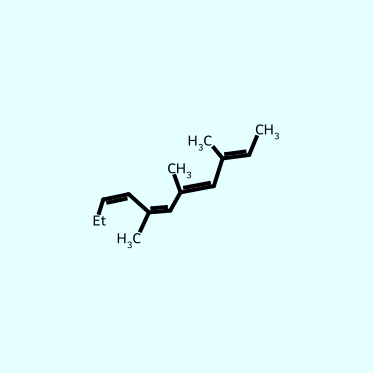 C/C=C(C)/C=C(C)/C=C(C)\C=C/CC